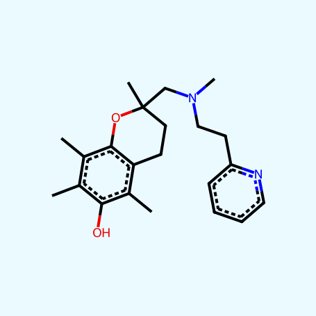 Cc1c(C)c2c(c(C)c1O)CCC(C)(CN(C)CCc1ccccn1)O2